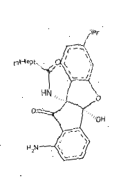 CCCCCCCC(=O)N[C@@]12C(=O)c3c(N)cccc3[C@]1(O)Oc1cc(C(C)C)ccc12